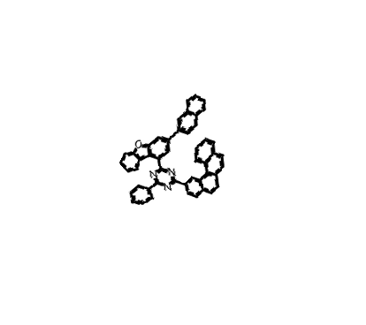 c1ccc(-c2nc(-c3ccc4ccc5ccc6ccccc6c5c4c3)nc(-c3cc(-c4ccc5ccccc5c4)cc4oc5ccccc5c34)n2)cc1